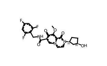 COc1c(=O)c(C(=O)NCc2c(F)cc(F)cc2F)cn2ccn([C@H]3CC[C@@H](O)C3)c(=O)c12